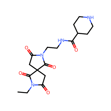 CCN1C(=O)CC2(CC(=O)N(CCNC(=O)C3CCNCC3)C2=O)C1=O